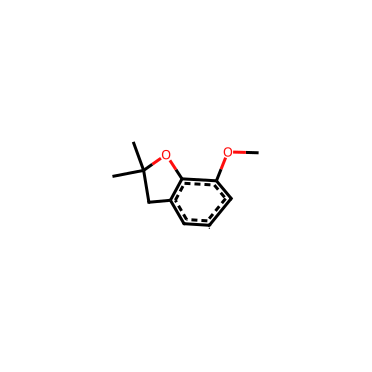 COc1c[c]cc2c1OC(C)(C)C2